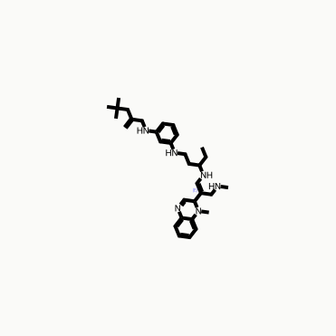 C=C(CNc1cccc(NCCC(CC)N/C=C(\CNC)C2C=Nc3ccccc3N2C)c1)CC(C)(C)C